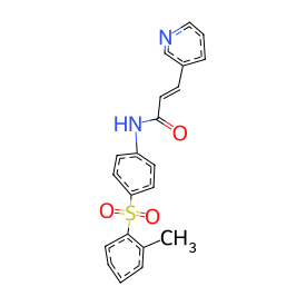 Cc1ccccc1S(=O)(=O)c1ccc(NC(=O)C=Cc2cccnc2)cc1